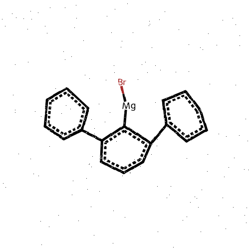 [Br][Mg][c]1c(-c2ccccc2)cccc1-c1ccccc1